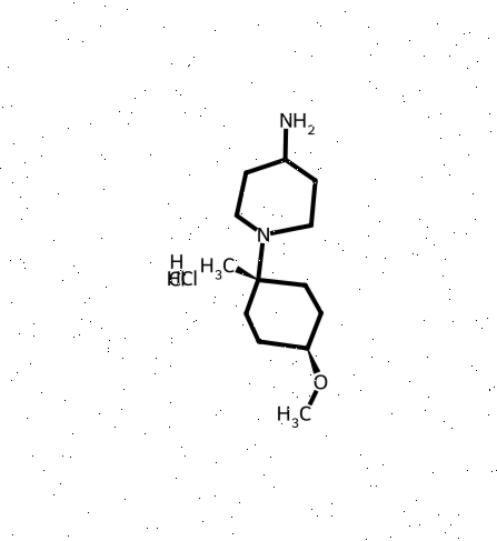 CO[C@H]1CC[C@](C)(N2CCC(N)CC2)CC1.Cl.Cl